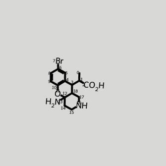 CC(C(=O)O)C1c2cc(Br)ccc2OC2(N)CCNCC12